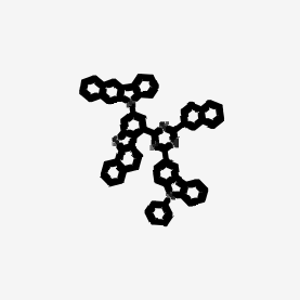 c1ccc(-n2c3ccccc3c3cc(-c4nc(-c5ccc6ccccc6c5)nc(-c5cc(-n6c7ccccc7c7cc8ccccc8cc76)cc6sc7c8ccccc8ccc7c56)n4)ccc32)cc1